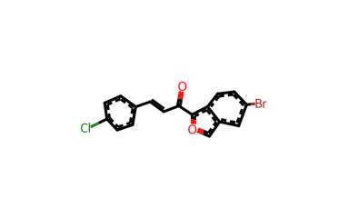 O=C(C=Cc1ccc(Cl)cc1)c1occ2cc(Br)ccc12